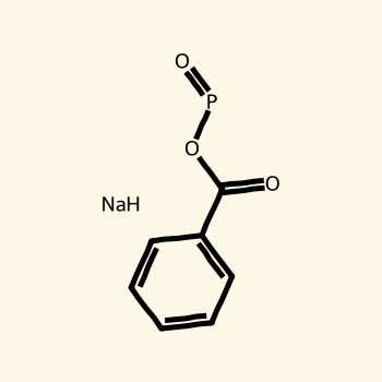 O=POC(=O)c1ccccc1.[NaH]